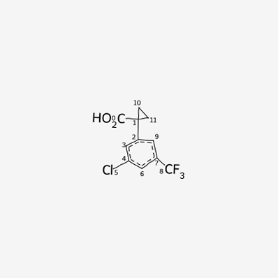 O=C(O)C1(c2cc(Cl)cc(C(F)(F)F)c2)CC1